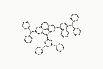 c1ccc(-c2cc(-c3ccccc3)cc(-n3c4cc(-c5ccc(N(c6ccccc6)c6ccccc6)c6ccccc56)cc5ccc6cc(N(c7ccccc7)c7ccccc7)cc3c6c54)c2)cc1